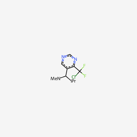 CNC(c1cncnc1C(F)(F)Cl)C(C)C